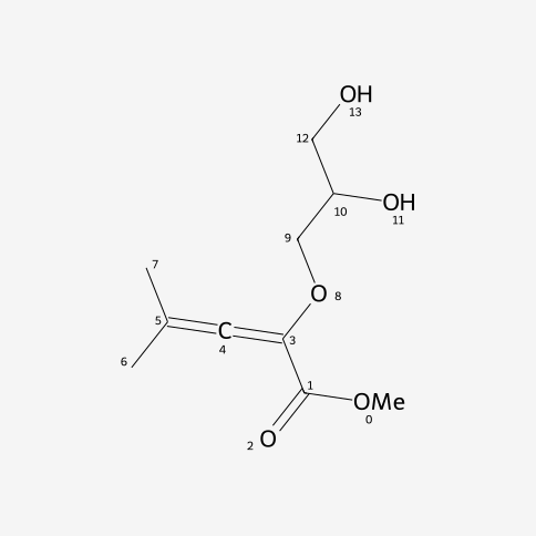 COC(=O)C(=C=C(C)C)OCC(O)CO